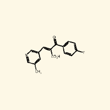 Cc1cncc(/C=C(\C(=O)O)C(=O)c2ccc(F)cc2)c1